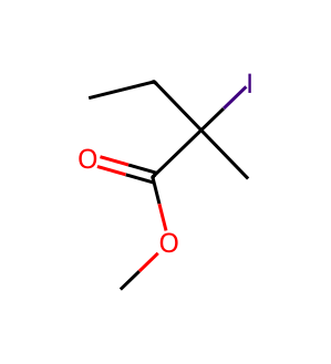 CCC(C)(I)C(=O)OC